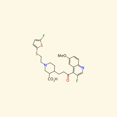 COc1ccc2ncc(F)c(C(=O)CCC3CCN(CCSc4ccc(F)s4)CC3C(=O)O)c2c1